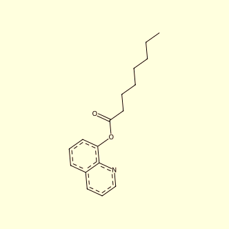 CCCCCCCC(=O)Oc1cccc2cccnc12